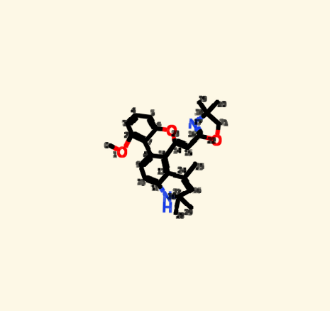 COc1cccc2c1-c1ccc3c(c1C(=CC1=NC(C)(C)CO1)O2)C(C)=CC(C)(C)N3